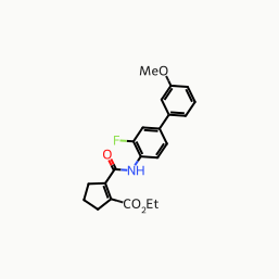 CCOC(=O)C1=C(C(=O)Nc2ccc(-c3cccc(OC)c3)cc2F)CCC1